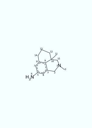 CN1Cc2cc(N)cc3c2C(C)(CCC3)C1